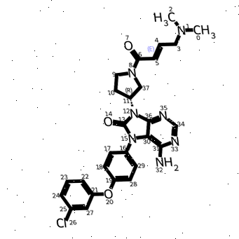 CN(C)C/C=C/C(=O)N1CC[C@@H](n2c(=O)n(-c3ccc(Oc4cccc(Cl)c4)cc3)c3c(N)ncnc32)C1